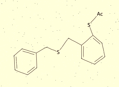 CC(=O)Sc1ccccc1CSCc1ccccc1